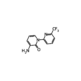 Nc1cccn(-c2cccc(C(F)(F)F)n2)c1=O